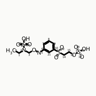 CCN(CO[N]c1cccc(S(=O)(=O)CCOS(=O)(=O)O)c1)S(=O)(=O)O